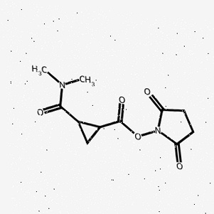 CN(C)C(=O)C1CC1C(=O)ON1C(=O)CCC1=O